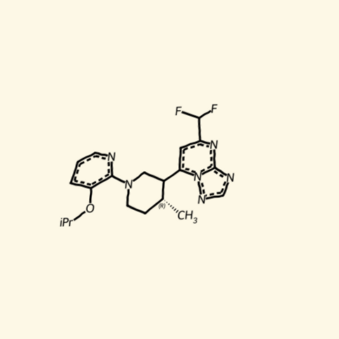 CC(C)Oc1cccnc1N1CC[C@@H](C)C(c2cc(C(F)F)nc3ncnn23)C1